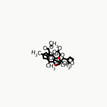 COC(=O)CC1C2(C)CC3(O)C4OC(=O)CC5C(C)(C(O)c6ccoc6)CCC67OC(C)(OC546)OC3(C2)C17C